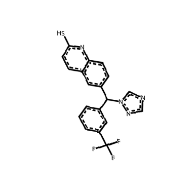 FC(F)(F)c1cccc(C(c2ccc3nc(S)ccc3c2)n2cncn2)c1